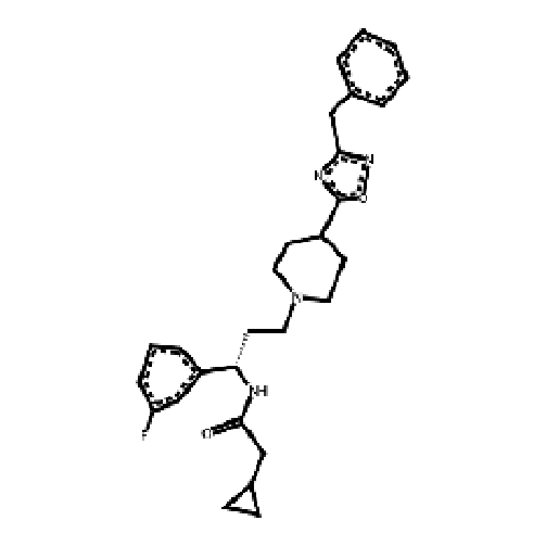 O=C(CC1CC1)N[C@@H](CCN1CCC(c2nc(Cc3ccccc3)no2)CC1)c1cccc(F)c1